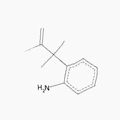 C=C(C)C(C)(C)c1ccccc1N